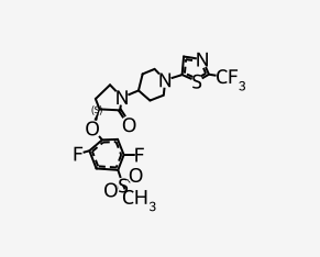 CS(=O)(=O)c1cc(F)c(O[C@H]2CCN(C3CCN(c4cnc(C(F)(F)F)s4)CC3)C2=O)cc1F